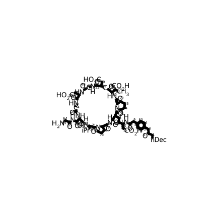 CCCCCCCCCCCC(=O)Cc1ccc(CC(=O)NC(CC(=O)O)C(=O)CC2C(=O)N3CCCCC3C(=O)NC(C(C)C(=O)O)C(=O)CC(CC(=O)O)C(=O)NCC(=O)NC(CC(=O)O)C(=O)NCC(=O)NC(C(C)NC(=O)CN)C(=O)NC(C(C)C)C(=O)N3CCCC3C(=O)NC2C)cc1